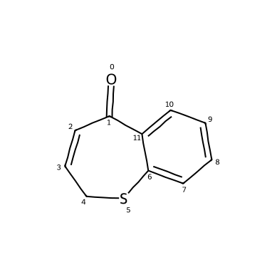 O=C1C=CCSc2ccccc21